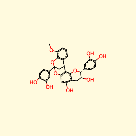 COc1cccc2c1OC1(c3ccc(O)c(O)c3)CC2c2c(cc(O)c3c2O[C@H](c2ccc(O)c(O)c2)[C@@H](O)C3)O1